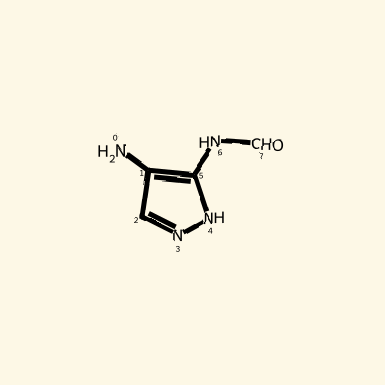 Nc1cn[nH]c1NC=O